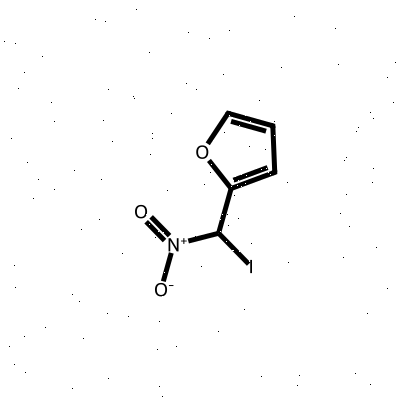 O=[N+]([O-])C(I)c1ccco1